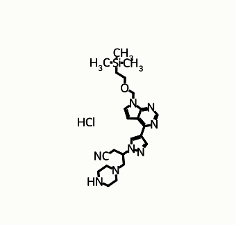 C[Si](C)(C)CCOCn1ccc2c(-c3cnn(C(CC#N)CN4CCNCC4)c3)ncnc21.Cl